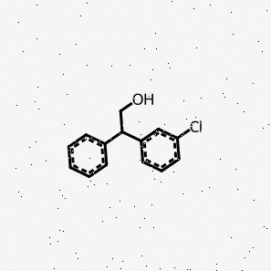 OCC(c1ccccc1)c1cccc(Cl)c1